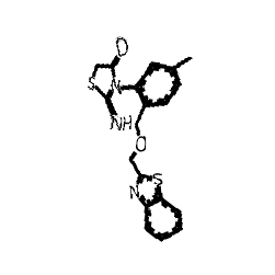 Cc1ccc(COCc2nc3ccccc3s2)c(N2C(=N)SCC2=O)c1